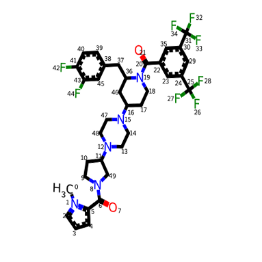 Cn1cccc1C(=O)N1CCC(N2CCN(C3CCN(C(=O)c4cc(C(F)(F)F)cc(C(F)(F)F)c4)C(Cc4ccc(F)c(F)c4)C3)CC2)C1